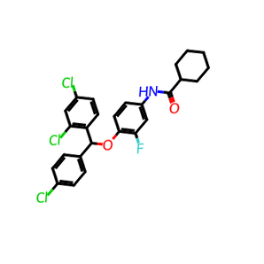 O=C(Nc1ccc(OC(c2ccc(Cl)cc2)c2ccc(Cl)cc2Cl)c(F)c1)C1CCCCC1